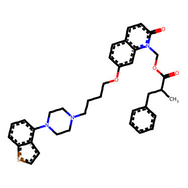 CC(Cc1ccccc1)C(=O)OCn1c(=O)ccc2ccc(OCCCCN3CCN(c4cccc5sccc45)CC3)cc21